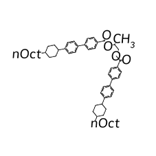 CCCCCCCCC1CCC(c2ccc(-c3ccc(C(=O)OCC(C)OC(=O)c4ccc(-c5ccc(C6CCC(CCCCCCCC)CC6)cc5)cc4)cc3)cc2)CC1